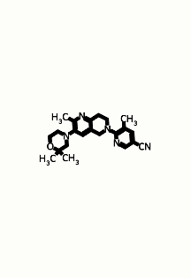 Cc1cc(C#N)cnc1N1CCc2nc(C)c(N3CCOC(C)(C)C3)cc2C1